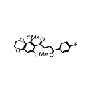 COc1cc2c(c(OC)c1C(=O)CCC(=O)c1ccc(F)cc1)OCCO2